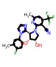 Cc1cc(C(F)(F)F)c(C#N)c(N2C[C@H](O)[C@H](O)[C@H]2c2nccn2-c2ccc(F)c(C)c2)n1